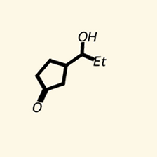 CCC(O)C1CCC(=O)C1